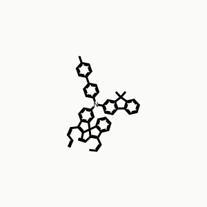 C=C/C=C\C1=C(C)C2(C(C=C)=C(/C=C\C)c3ccccc32)c2cc(N(c3ccc(-c4ccc(C)cc4)cc3)c3ccc4c(c3)C(C)(C)c3ccccc3-4)ccc21